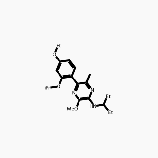 CCOc1ccc(-c2nc(OC)c(NC(CC)CC)nc2C)c(OC(C)C)c1